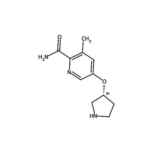 Cc1cc(O[C@@H]2CCNC2)cnc1C(N)=O